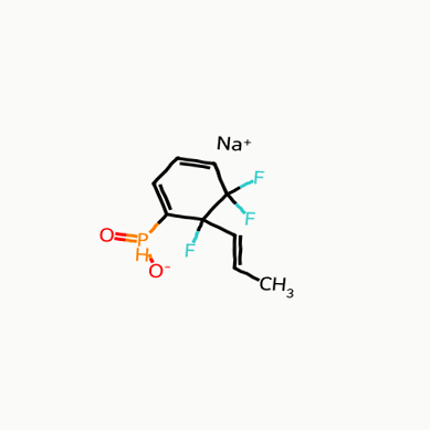 CC=CC1(F)C([PH](=O)[O-])=CC=CC1(F)F.[Na+]